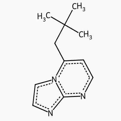 CC(C)(C)Cc1ccnc2nccn12